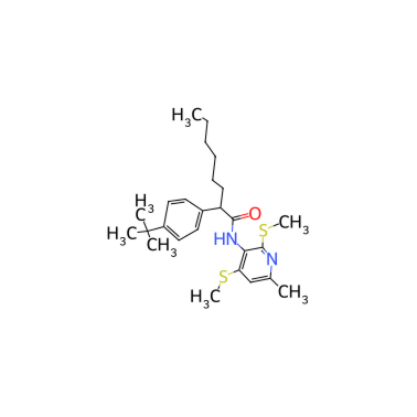 CCCCCCC(C(=O)Nc1c(SC)cc(C)nc1SC)c1ccc(C(C)(C)C)cc1